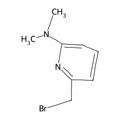 CN(C)c1cccc(CBr)n1